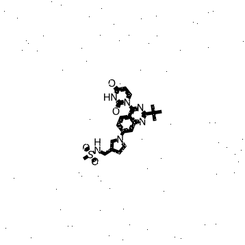 CC(C)(C)c1nc(-n2ccc(=O)[nH]c2=O)c2ccc(N3CCC(CNS(C)(=O)=O)C3)cc2n1